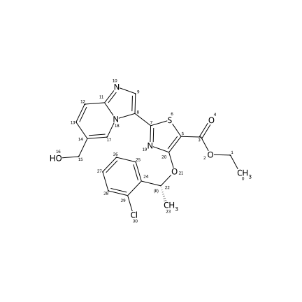 CCOC(=O)c1sc(-c2cnc3ccc(CO)cn23)nc1O[C@H](C)c1ccccc1Cl